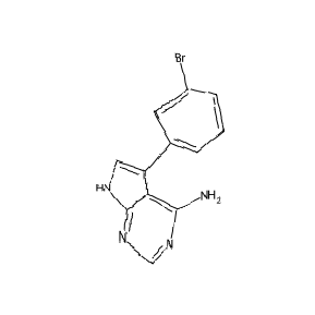 Nc1ncnc2[nH]cc(-c3cccc(Br)c3)c12